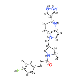 Cc1cc(CCC(=O)N2CC(Cn3ccc4nc(-c5cn[nH]c5)ccc43)C[C@H]2C)ccc1F